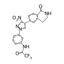 O=C1NCCc2cc(-c3cn(-c4cccc(NC(=O)C(F)(F)F)c4)nc3[N+](=O)[O-])ccc21